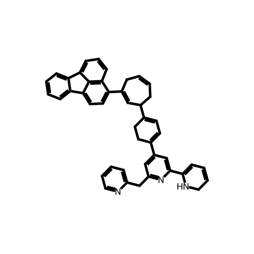 C1=CCNC(c2cc(C3=CC=C(C4C=C(c5ccc6c7c(cccc57)-c5ccccc5-6)CC=CC4)CC3)cc(Cc3ccccn3)n2)=C1